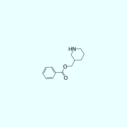 O=C(OCC1CCCNC1)c1ccccc1